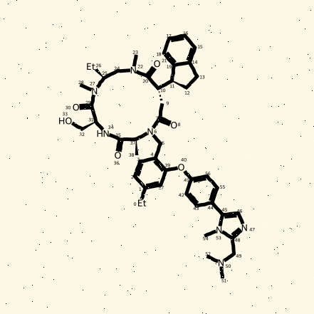 CCc1ccc(CN2C(=O)C[C@@H]([C@@H]3CCc4ccccc43)C(=O)N(C)C[C@H](CC)N(C)C(=O)[C@H](CO)NC(=O)[C@@H]2C)c(Oc2ccc(-c3cnc(CN(C)C)n3C)cc2)c1